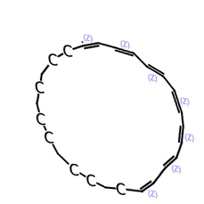 [C]1=C/C=C\C=C/C=C\C=C/C=C\C=C/CCCCCCCCCCCC\1